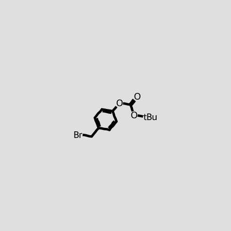 CC(C)(C)OC(=O)Oc1ccc(CBr)cc1